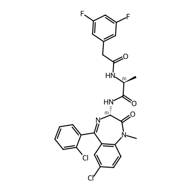 C[C@H](NC(=O)Cc1cc(F)cc(F)c1)C(=O)N[C@H]1N=C(c2ccccc2Cl)c2cc(Cl)ccc2N(C)C1=O